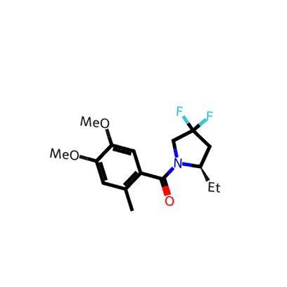 CC[C@@H]1CC(F)(F)CN1C(=O)c1cc(OC)c(OC)cc1C